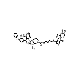 CC1CN(C(=O)CCCCCCSc2cc(F)cc3c2C(=O)N(C2CCC(=O)NC2=O)C3=O)CCC[C@H]1Nc1ncnc(N)c1C(=N)c1ccc(Oc2ccccc2)cc1